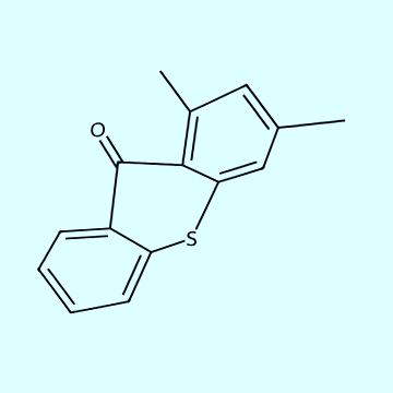 Cc1cc(C)c2c(=O)c3ccccc3sc2c1